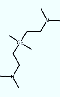 CN(C)C[CH2][Ge]([CH3])([CH3])[CH2]CN(C)C